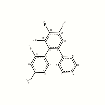 CCCc1ccc(-c2c(-c3ccccc3)cc(F)c(F)c2F)c(F)c1